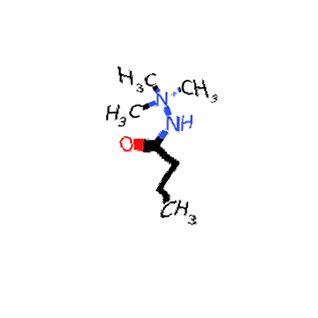 CCCC(=O)N[N+](C)(C)C